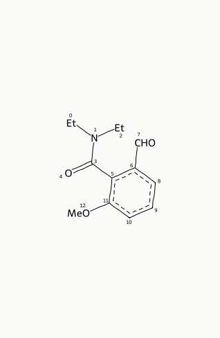 CCN(CC)C(=O)c1c(C=O)cccc1OC